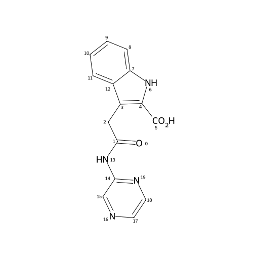 O=C(Cc1c(C(=O)O)[nH]c2ccccc12)Nc1cnccn1